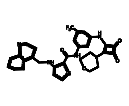 O=C(Nc1cc(Nc2c(N3CCOCC3)c(=O)c2=O)cc(C(F)(F)F)c1)c1sccc1NCc1ccnc2ccccc12